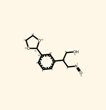 O=NCC(CO)c1cccc(C2OCCO2)c1